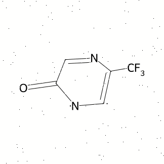 O=C1C=NC(C(F)(F)F)=[C][N]1